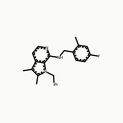 Cc1cc(F)ccc1CNc1nccc2c(C)c(C)n(CC(C)C)c12